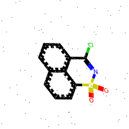 O=S1(=O)N=C(Cl)c2cccc3cccc1c23